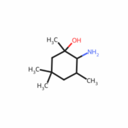 CC1CC(C)(C)CC(C)(O)C1N